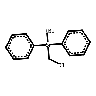 CC(C)(C)[Si](CCl)(c1ccccc1)c1ccccc1